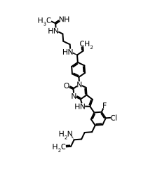 C=C[C@H](NCCCNC(C)=N)c1ccc(-n2cc3cc(-c4cc(CCC[C@@H](N)C=C)cc(Cl)c4F)[nH]c3nc2=O)cc1